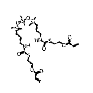 C=CC(=O)OCCSC(=O)NCCC[Si](C)(C)O[Si](C)(C)O[Si](C)(C)CCCNC(=O)SCCOC(=O)C=C